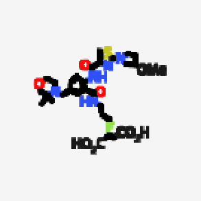 CO[C@H]1CCN(c2nc(C(=O)Nc3ccc(CN4CCOCC4(C)C)cc3C(=O)NCCCF)cs2)C1.O=C(O)/C=C/C(=O)O